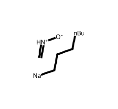 C=[NH+][O-].CCCCCC[CH2][Na]